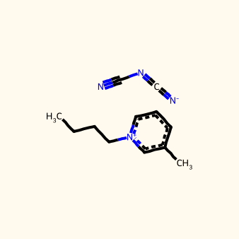 CCCC[n+]1cccc(C)c1.N#CN=C=[N-]